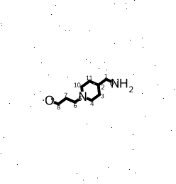 NCC1CCN(CCC[O])CC1